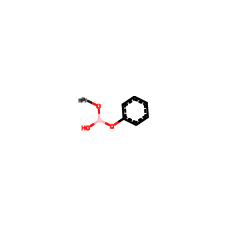 CCCOB(O)Oc1ccccc1